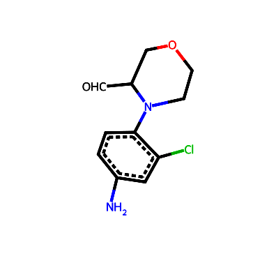 Nc1ccc(N2CCOCC2C=O)c(Cl)c1